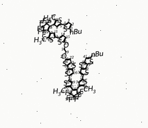 CCCCc1ccc(-c2cc(C3=C(c4cc(-c5ccc(OCCOc6cc7sc8cc(-c9cc(C%10=C(c%11cc(-c%12cc%13sc%14cc(CCCC)sc%14c%13s%12)sc%11C)C(F)(F)C(F)(F)C%10(F)F)c(C)s9)sc8c7s6)s5)sc4C)C(F)(F)C(F)(F)C3(F)F)c(C)s2)s1